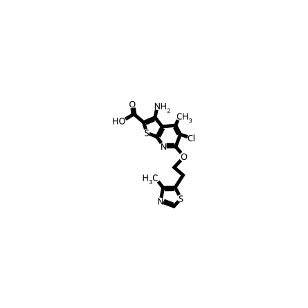 Cc1ncsc1CCOc1nc2sc(C(=O)O)c(N)c2c(C)c1Cl